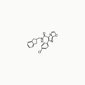 O=C(NCC1Cc2ccccc2C1)c1c(-c2ccc(Cl)cc2)nc2occn12